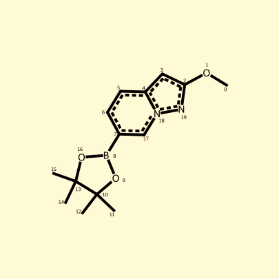 COc1cc2ccc(B3OC(C)(C)C(C)(C)O3)cn2n1